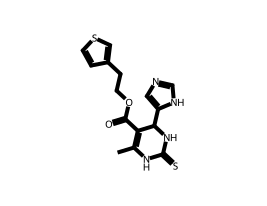 CC1=C(C(=O)OCCc2ccsc2)C(c2cnc[nH]2)NC(=S)N1